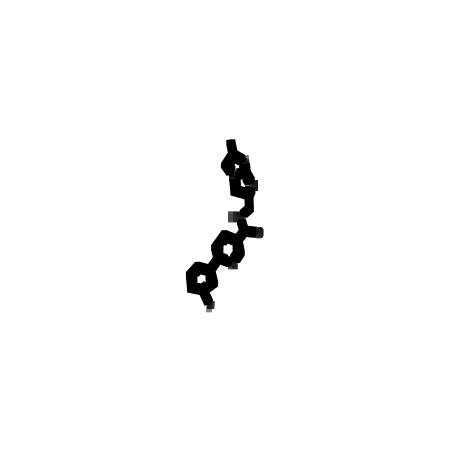 Cc1cn2cc(CNC(=O)c3ccc(-c4cccc(F)c4)nc3)nc2s1